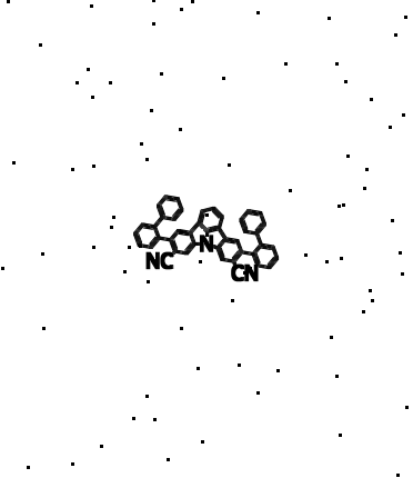 N#Cc1cc2c(cc1-c1ccccc1-c1ccccc1)c1cccc3c4cc(-c5ccccc5-c5ccccc5)c(C#N)cc4n2c13